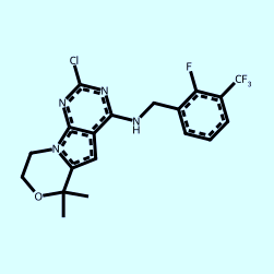 CC1(C)OCCn2c1cc1c(NCc3cccc(C(F)(F)F)c3F)nc(Cl)nc12